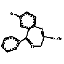 CNC1=Nc2ccc(Br)cc2C(c2ccccc2)=NC1